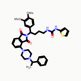 COc1ccc(C(CCCNC(=O)Nc2cccs2)N2C(=O)c3cccc(N4CCN(C(C)c5ccccc5)CC4)c3C2=O)cc1OC